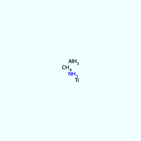 C.N.[AlH3].[Ti]